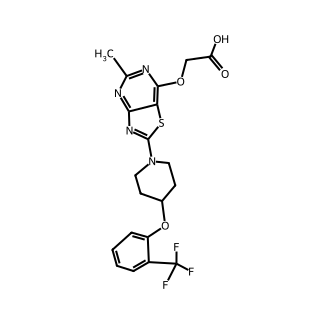 Cc1nc(OCC(=O)O)c2sc(N3CCC(Oc4ccccc4C(F)(F)F)CC3)nc2n1